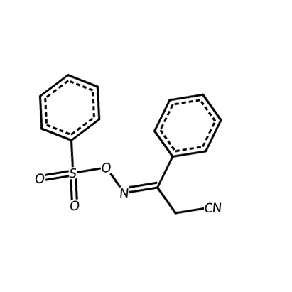 N#CCC(=NOS(=O)(=O)c1ccccc1)c1ccccc1